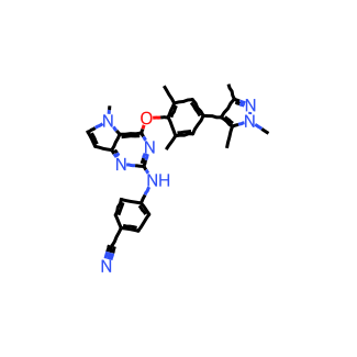 Cc1cc(-c2c(C)nn(C)c2C)cc(C)c1Oc1nc(Nc2ccc(C#N)cc2)nc2ccn(C)c12